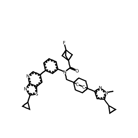 Cn1nc(C23CCC(CN(C(=O)C45CC(F)(C4)C5)c4cccc(-c5cnc6nc(C7CC7)sc6c5)c4)(CC2)CC3)cc1C1CC1